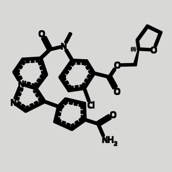 CN(C(=O)c1ccn2ncc(-c3ccc(C(N)=O)cc3)c2c1)c1ccc(Cl)c(C(=O)OC[C@H]2CCCO2)c1